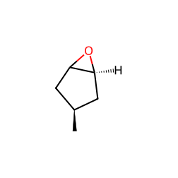 C[C@H]1CC2O[C@H]2C1